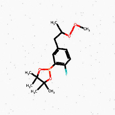 COOC(C)Cc1ccc(F)c(P2OC(C)(C)C(C)(C)O2)c1